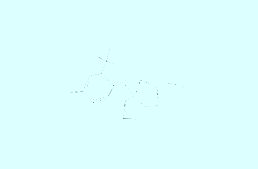 CC(C)C[N+]1(Cc2ccc(F)cc2C(F)(F)F)CC[C@@H](CN)C1